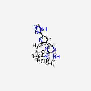 [2H]C([2H])([2H])C(C)(C)N1C(=C)CNc2ncc(-c3ccc(-c4nnc[nH]4)nc3C)nc21